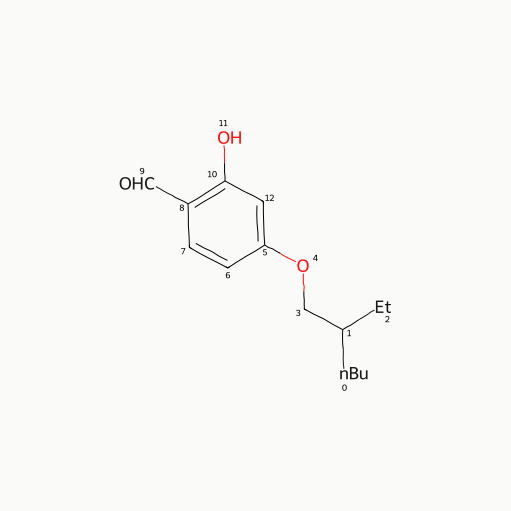 CCCCC(CC)COc1ccc(C=O)c(O)c1